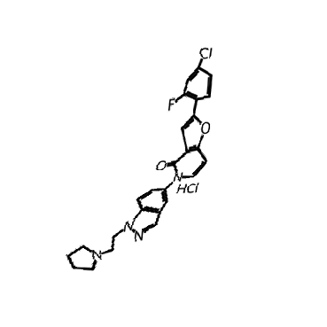 Cl.O=c1c2cc(-c3ccc(Cl)cc3F)oc2ccn1-c1ccc2c(cnn2CCN2CCCC2)c1